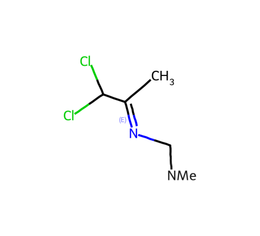 CNC/N=C(\C)C(Cl)Cl